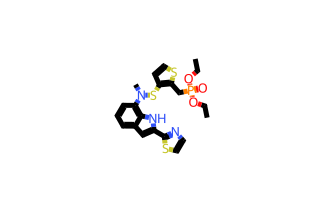 CCOP(=O)(Cc1sccc1SN(C)c1cccc2cc(-c3nccs3)[nH]c12)OCC